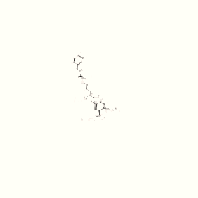 COC(=O)c1cc(NC(=O)[C@@H](N)CCCCNC(=O)OCc2ccccc2)ccc1OC